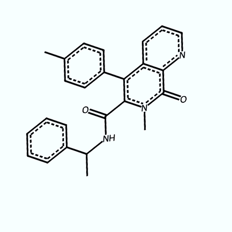 Cc1ccc(-c2c(C(=O)NC(C)c3ccccc3)n(C)c(=O)c3ncccc23)cc1